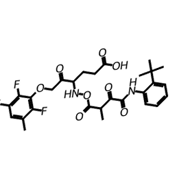 Cc1cc(F)c(F)c(OCC(=O)C(CCC(=O)O)NOC(=O)C(C)C(=O)C(=O)Nc2ccccc2C(C)(C)C)c1F